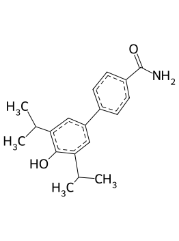 CC(C)c1cc(-c2ccc(C(N)=O)cc2)cc(C(C)C)c1O